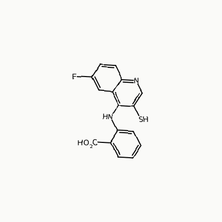 O=C(O)c1ccccc1Nc1c(S)cnc2ccc(F)cc12